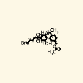 C=C(C)[C@H]1CCC(COC(C)=O)=C[C@@H]1c1c(O)cc(C(C)(C)CCCCBr)cc1O